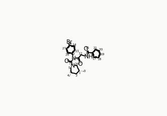 C[C@@H]1C[C@H](C)CN(C(=O)N(C(=O)CNC(=O)c2ccccc2)c2ccc(Br)cc2)C1